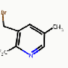 Cc1cnc(C(F)(F)F)c(CBr)c1